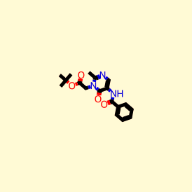 Cc1ncc(NC(=O)c2ccccc2)c(=O)n1CC(=O)OC(C)(C)C